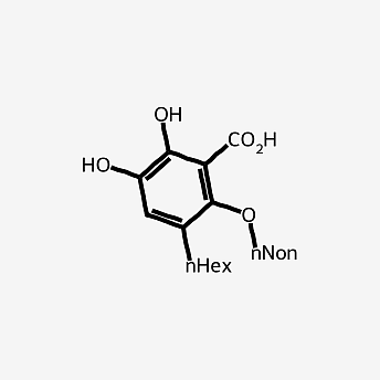 CCCCCCCCCOc1c(CCCCCC)cc(O)c(O)c1C(=O)O